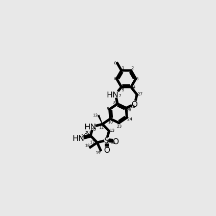 Cc1ccc2c(c1)Nc1cc([C@]3(C)CS(=O)(=O)C(C)(C)C(=N)N3)ccc1OC2